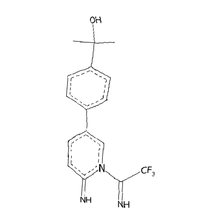 CC(C)(O)c1ccc(-c2ccc(=N)n(C(=N)C(F)(F)F)c2)cc1